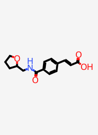 O=C(O)C=Cc1ccc(C(=O)NCC2CCCO2)cc1